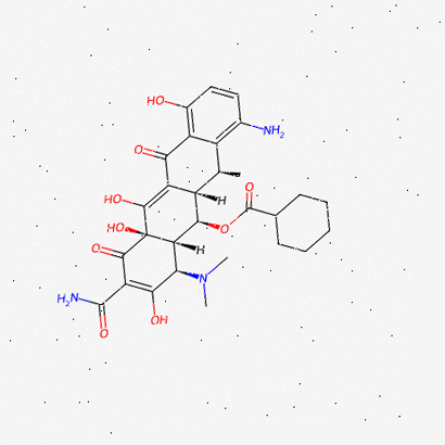 C[C@@H]1c2c(N)ccc(O)c2C(=O)C2=C(O)[C@@]3(O)C(=O)C(C(N)=O)=C(O)[C@H](N(C)C)[C@H]3[C@H](OC(=O)C3CCCCC3)[C@H]21